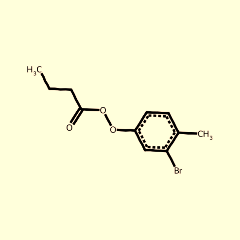 CCCC(=O)OOc1ccc(C)c(Br)c1